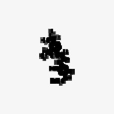 CCOC(=O)Nc1cc(O)c(NC(=O)C(CC)Oc2ccc(C(C)(C)CC)cc2C(C)(C)CC)cc1Cl